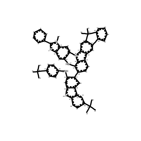 Cn1c(-c2ccccc2)nc2cc3c(cc21)-n1c2cc4c(cc2c2ccc(-c5cc6c(cc5Nc5ccc(C(C)(C)C)cc5)sc5ccc(C(C)(C)C)cc56)c(c21)B3)-c1ccccc1C4(C)C